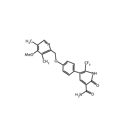 COc1c(C)cnc(COc2ccc(-c3cc(C(N)=O)c(=O)[nH]c3C(F)(F)F)cc2)c1C